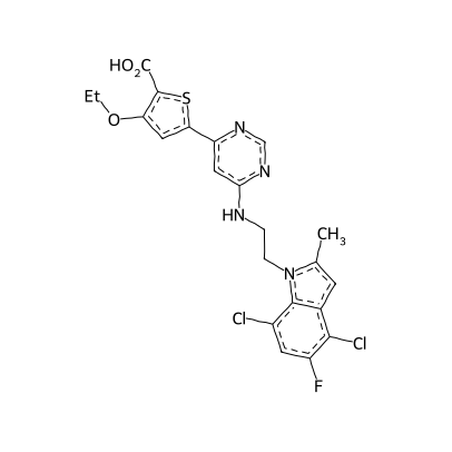 CCOc1cc(-c2cc(NCCn3c(C)cc4c(Cl)c(F)cc(Cl)c43)ncn2)sc1C(=O)O